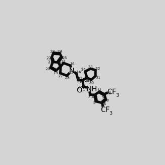 O=C(NCc1cc(C(F)(F)F)cc(C(F)(F)F)c1)C(CCN1CCC2(C=Cc3ccccc32)CC1)C1CCCCC1